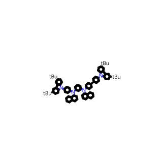 CC(C)(C)c1ccc2c(c1)c1cc(C(C)(C)C)ccc1n2-c1ccc(-c2ccc(N(c3cccc(N(c4ccc(-n5c6ccc(C(C)(C)C)cc6c6cc(C(C)(C)C)ccc65)cc4)c4cccc5ccccc45)c3)c3cccc4ccccc34)cc2)cc1